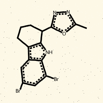 Cc1nnc(C2CCCc3c2[nH]c2c(Br)cc(Br)cc32)o1